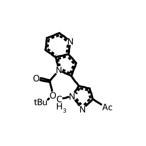 CC(=O)c1cc(-c2cc3ncccc3n2C(=O)OC(C)(C)C)n(C)n1